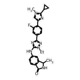 CCn1nc(-c2ccc(-c3cn(C)c(C4CC4)n3)c(F)c2)nc1Nc1ccc2c(c1)C(C)NC2=O